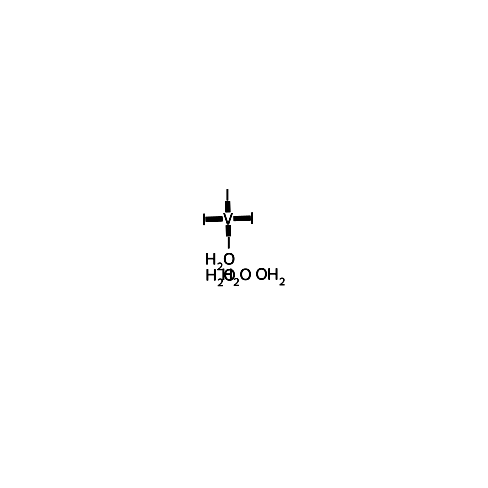 O.O.O.O.[I][V]([I])([I])[I]